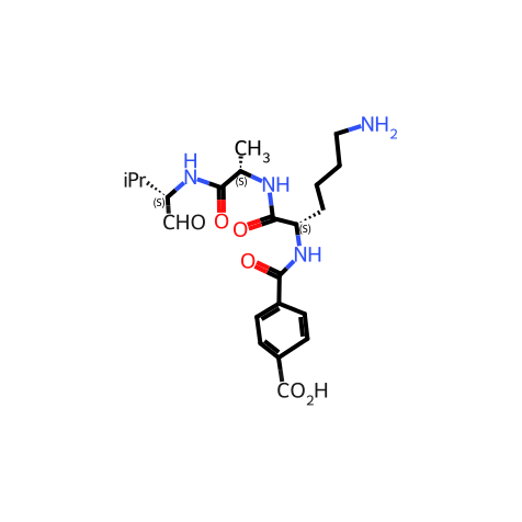 CC(C)[C@@H](C=O)NC(=O)[C@H](C)NC(=O)[C@H](CCCCN)NC(=O)c1ccc(C(=O)O)cc1